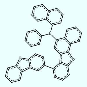 c1ccc(N(c2cccc3ccccc23)c2cc3c(oc4cccc(-c5ccc6oc7ccccc7c6c5)c43)c3ccccc23)cc1